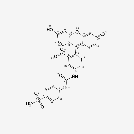 NS(=O)(=O)c1ccc(NC(=O)Nc2ccc(-c3c4ccc(=O)cc-4oc4cc(O)ccc34)c(C(=O)O)c2)cc1